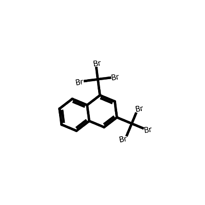 BrC(Br)(Br)c1cc(C(Br)(Br)Br)c2ccccc2c1